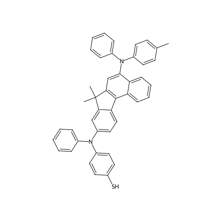 Cc1ccc(N(c2ccccc2)c2cc3c(c4ccccc24)-c2ccc(N(c4ccccc4)c4ccc(S)cc4)cc2C3(C)C)cc1